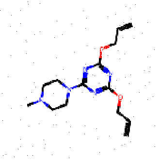 C=CCOc1nc(OCC=C)nc(N2CCN(C)CC2)n1